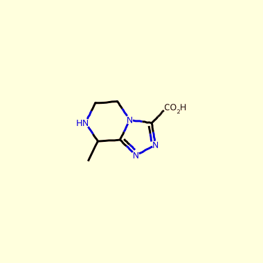 CC1NCCn2c(C(=O)O)nnc21